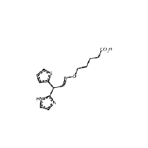 O=C(O)CCCCON=CC(c1ncc[nH]1)c1cccs1